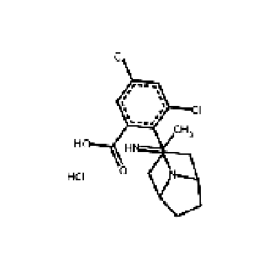 CC(=N)N1C2CCC1CC(c1c(Cl)cc(Cl)cc1C(=O)O)C2.Cl